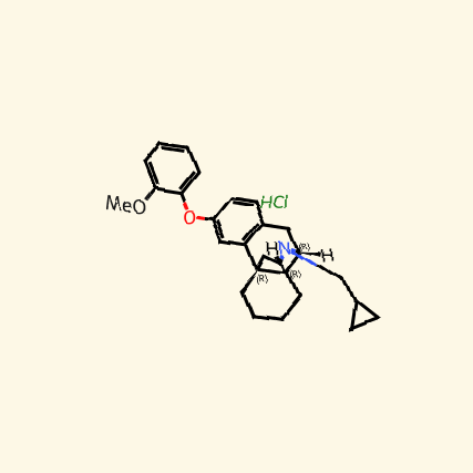 COc1ccccc1Oc1ccc2c(c1)[C@@]13CCCC[C@H]1[C@@H](C2)N(CC1CC1)CC3.Cl